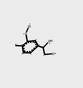 CCOc1cc(C(O)CCl)ccc1C